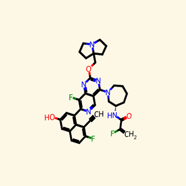 C#Cc1c(F)ccc2cc(O)cc(-c3ncc4c(N5CCCC[C@H](NC(=O)C(=C)F)C5)nc(OCC56CCCN5CCC6)nc4c3F)c12